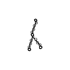 c1ccc(OCCOCCOCCOc2ccc(N(CCOCCOCCOc3ccccc3)CCOCCOCCOc3ccccc3)cc2)cc1